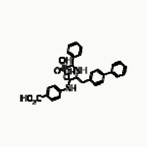 O=C(O)c1ccc(NC(=O)C(Cc2ccc(-c3ccccc3)cc2)NC(c2ccccc2)P(=O)(O)O)cc1